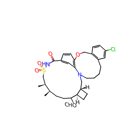 C[C@@H]1CCC(C=O)[C@@H]2CC[C@H]2CN2CCCCc3cc(Cl)ccc3COc3ccc(cc32)C(=O)NS(=O)(=O)C[C@@H]1C